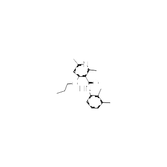 CCCOc1cc(C)nc(C)c1C(=O)Nc1cccc(C)c1C